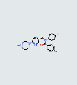 Cc1ccc(C(=O)N(Cc2ccc(N3CCCN(C)CC3)nc2)c2ccc(F)cc2)cc1